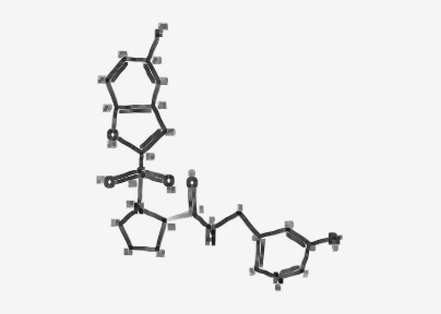 O=C(NCc1cncc(Br)c1)[C@@H]1CCCN1S(=O)(=O)c1cc2cc(F)ccc2o1